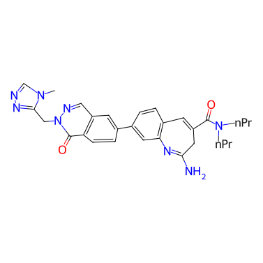 CCCN(CCC)C(=O)C1=Cc2ccc(-c3ccc4c(=O)n(Cc5nncn5C)ncc4c3)cc2N=C(N)C1